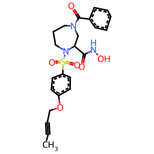 CC#CCOc1ccc(S(=O)(=O)N2CCCN(C(=O)c3ccccc3)CC2C(=O)NO)cc1